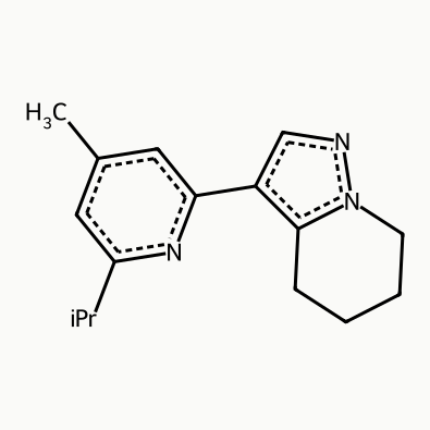 Cc1cc(-c2cnn3c2CCCC3)nc(C(C)C)c1